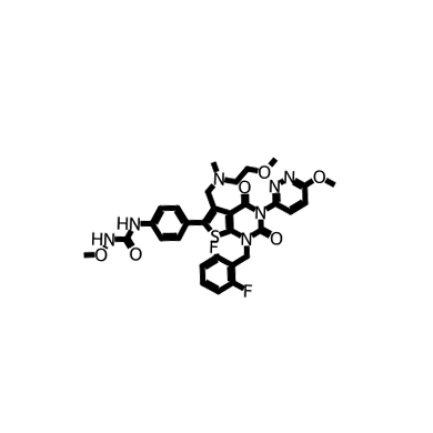 COCCN(C)Cc1c(-c2ccc(NC(=O)NOC)cc2)sc2c1c(=O)n(-c1ccc(OC)nn1)c(=O)n2Cc1c(F)cccc1F